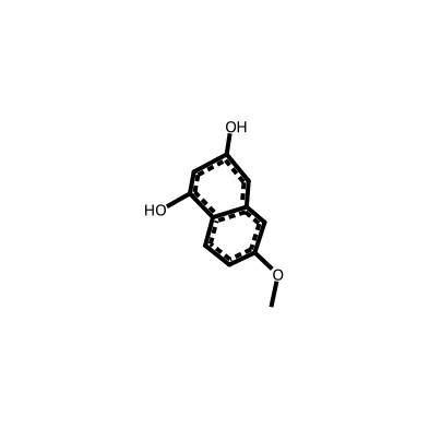 COc1ccc2c(O)cc(O)cc2c1